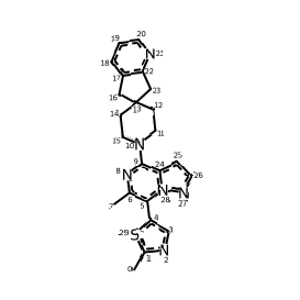 Cc1ncc(-c2c(C)nc(N3CCC4(CC3)Cc3cccnc3C4)c3ccnn23)s1